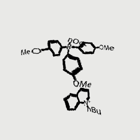 CCCCCCCC[B-](c1ccc(OC)cc1)(c1ccc(OC)cc1)c1ccc(OC)cc1.CCCC[n+]1cccc2ccccc21